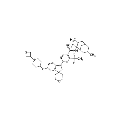 CC1CC2CC(C)C(NC(=O)c3cnc(N4CC5(CCOCC5)c5cc(OC6CCN(C7CSC7)CC6)ccc54)nc3C(C)(F)F)(C(=O)O)C(C1)C2